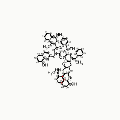 C[C@H](NCC(=O)N(CC(=O)N(CC(=O)N(CC(=O)N(CC(=O)N(CC(N)=O)[C@@H](C)c1ccccc1)Cc1ccc2cccc(O)c2n1)[C@@H](C)c1ccccc1)[C@@H](C)c1ccccc1)Cc1ccc2cccc(O)c2n1)c1ccccc1